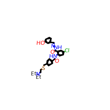 CCN(CC)CCSCc1ccc(C(=O)Nc2ccc(Cl)cc2C(=O)N/N=C/c2cccc(O)c2)cc1